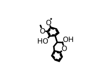 COc1ccc(C2Cc3ccccc3OC2O)c(O)c1OC